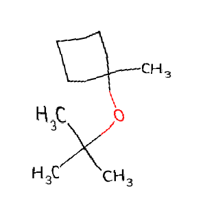 CC(C)(C)OC1(C)CCC1